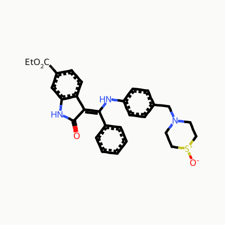 CCOC(=O)c1ccc2c(c1)NC(=O)C2=C(Nc1ccc(CN2CC[S+]([O-])CC2)cc1)c1ccccc1